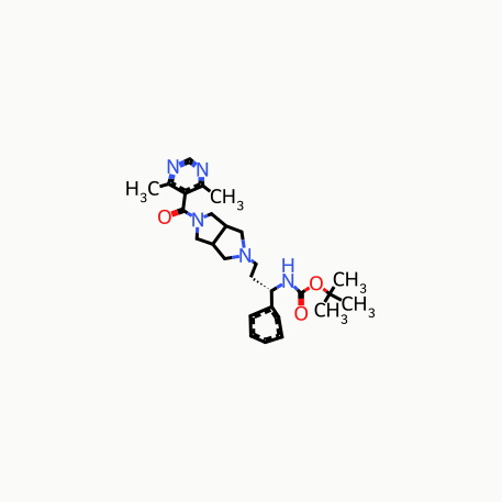 Cc1ncnc(C)c1C(=O)N1CC2CN(CC[C@H](NC(=O)OC(C)(C)C)c3ccccc3)CC2C1